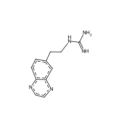 N=C(N)NCCc1ccc2nccnc2c1